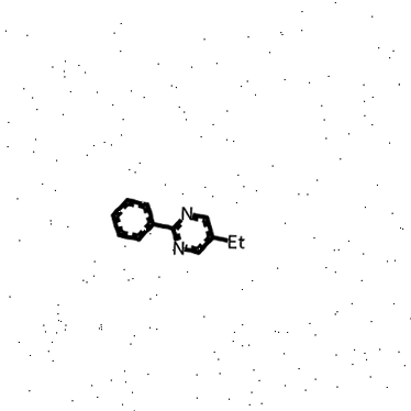 CCc1cnc(-c2ccccc2)nc1